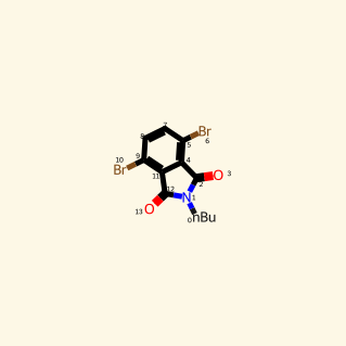 CCCCN1C(=O)c2c(Br)ccc(Br)c2C1=O